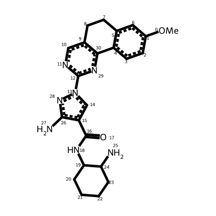 COc1ccc2c(c1)CCc1cnc(-n3cc(C(=O)NC4CCCCC4N)c(N)n3)nc1-2